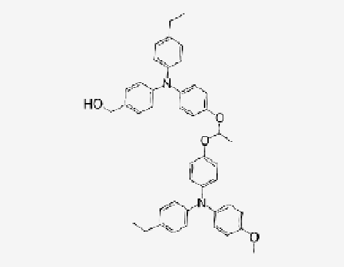 CCc1ccc(N(c2ccc(CO)cc2)c2ccc(OC(C)Oc3ccc(N(c4ccc(CC)cc4)c4ccc(OC)cc4)cc3)cc2)cc1